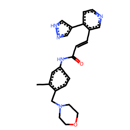 Cc1cc(NC(=O)C=Cc2cnccc2-c2cn[nH]c2)ccc1CN1CCOCC1